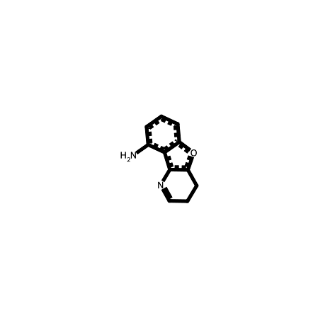 Nc1cccc2oc3c(c12)N=CCC3